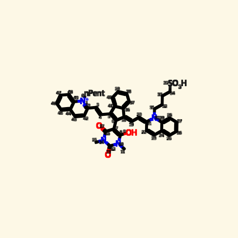 CCCCC[n+]1c(/C=C/C2=C(c3c(O)n(C)c(=O)n(C)c3=O)C(=C/C=C3\C=Cc4ccccc4N3CCCCS(=O)(=O)O)/c3ccccc32)ccc2ccccc21